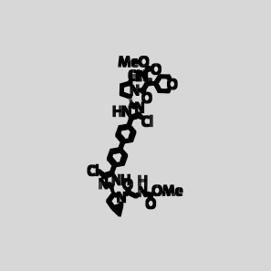 COC(=O)NCC(=O)N1C2CC2C[C@H]1c1nc(Cl)c(-c2ccc(-c3ccc(-c4[nH]c([C@@H]5CCC(C)N5C(=O)[C@@H](NC(=O)OC)C5CCOCC5)nc4Cl)cc3)cc2)[nH]1